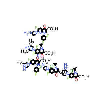 CC1CN(c2cc3c(cc2F)c(=O)c(C(=O)O)cn3-c2ccc(F)cc2F)CCN1.C[C@@H]1CN(c2c(F)c(N)c3c(=O)c(C(=O)O)cn(C4CC4)c3c2F)C[C@H](C)N1.NC1CCN(c2c(F)cc3c(=O)c(C(=O)O)cn(C4CC4)c3c2Cl)C1.NC1CCN(c2nc3c(cc2F)c(=O)c(C(=O)O)cn3-c2ccc(F)cc2F)C1.N[C@@H]1CCCCN(c2c(F)cc3c(=O)c(C(=O)O)cn(C4CC4)c3c2Cl)C1